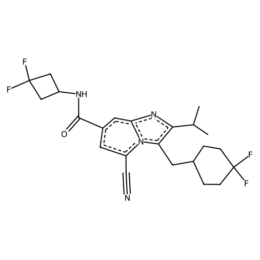 CC(C)c1nc2cc(C(=O)NC3CC(F)(F)C3)cc(C#N)n2c1CC1CCC(F)(F)CC1